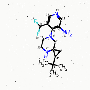 CC(C)(C)C1CC12CN(c1c(N)cncc1C(F)F)CCN2